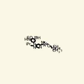 CC(C)Cc1nc2cnc(-c3ncn(COCC[Si](C)(C)C)n3)cc2n1C1CC(O)CC(NC(=O)O)C1